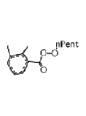 [CH2]CCCCOOC(=O)c1cccc(C)c1C